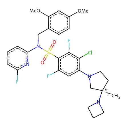 COc1ccc(CN(c2cccc(F)n2)S(=O)(=O)c2c(F)cc(N3CC[C@@](C)(N4CCC4)C3)c(Cl)c2F)c(OC)c1